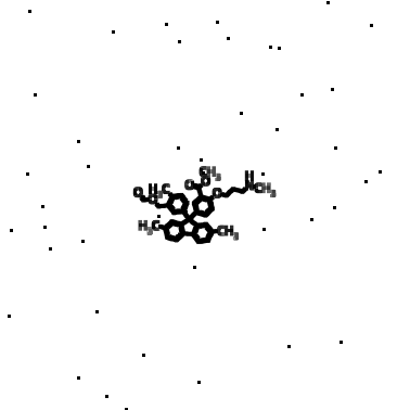 CNCCCOc1ccc(C2(c3ccc(C)c(COC=O)c3)c3cc(C)ccc3-c3ccc(C)cc32)cc1C(=O)OC